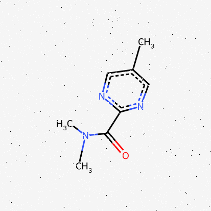 Cc1cnc(C(=O)N(C)C)nc1